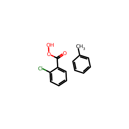 Cc1ccccc1.O=C(OO)c1ccccc1Cl